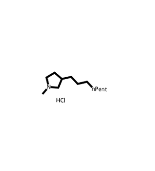 CCCCCCCCC1CCN(C)C1.Cl